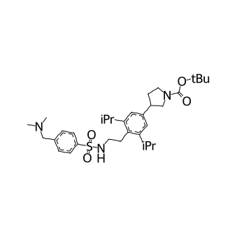 CC(C)c1cc(C2CCN(C(=O)OC(C)(C)C)C2)cc(C(C)C)c1CCNS(=O)(=O)c1ccc(CN(C)C)cc1